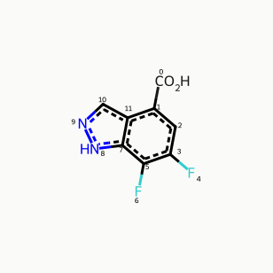 O=C(O)c1cc(F)c(F)c2[nH]ncc12